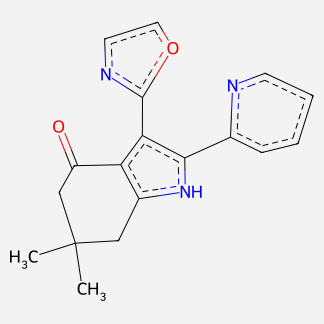 CC1(C)CC(=O)c2c([nH]c(-c3ccccn3)c2-c2ncco2)C1